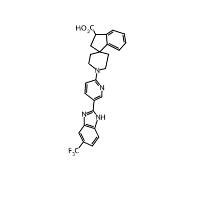 O=C(O)C1CC2(CCN(c3ccc(-c4nc5cc(C(F)(F)F)ccc5[nH]4)cn3)CC2)c2ccccc21